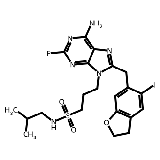 CC(C)CNS(=O)(=O)CCCn1c(Cc2cc3c(cc2I)CCO3)nc2c(N)nc(F)nc21